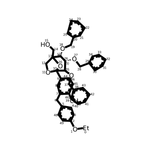 CCOc1ccc(Cc2cc(C34OCC(CO)(O3)[C@H](OCc3ccccc3)[C@H](OCc3ccccc3)C4OCc3ccccc3)ccc2C)cc1